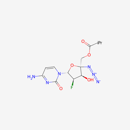 CC(C)C(=O)OC[C@@]1(N=[N+]=[N-])O[C@@H](n2ccc(N)nc2=O)[C@H](F)[C@@H]1O